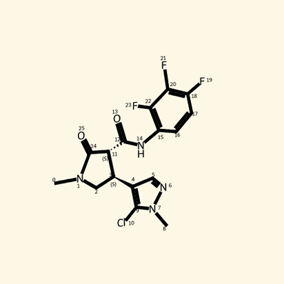 CN1C[C@H](c2cnn(C)c2Cl)[C@@H](C(=O)Nc2ccc(F)c(F)c2F)C1=O